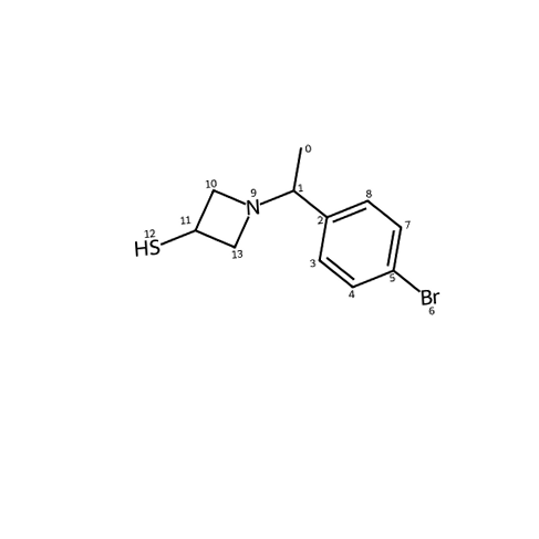 CC(c1ccc(Br)cc1)N1CC(S)C1